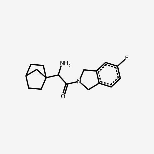 NC(C(=O)N1Cc2ccc(F)cc2C1)C12CCC(CC1)C2